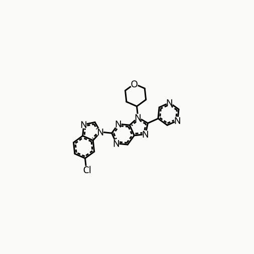 Clc1ccc2ncn(-c3ncc4nc(-c5cncnc5)n(C5CCOCC5)c4n3)c2c1